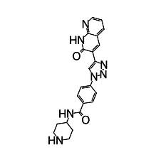 O=C(NC1CCNCC1)c1ccc(-n2cc(-c3cc4cccnc4[nH]c3=O)nn2)cc1